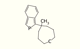 CC1(C2=c3ccccc3=C[P]2)CCCCCCC1